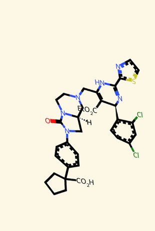 CCOC(=O)C1=C(CN2CCN3C(=O)N(c4ccc(C5(C(=O)O)CCCC5)cc4)C[C@@H]3C2)NC(c2nccs2)=N[C@H]1c1ccc(Cl)cc1Cl